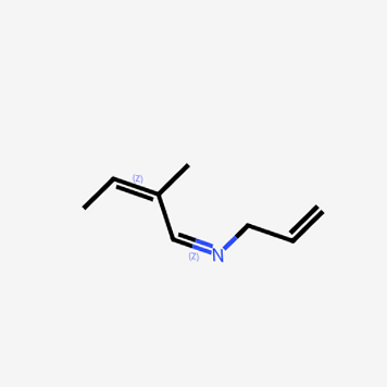 C=CC/N=C\C(C)=C/C